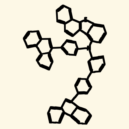 c1cc(-c2ccc(-c3cc4ccccc4c4ccccc34)cc2)cc(N(c2ccc(-c3cc4ccccc4c4ccccc34)cc2)c2cccc3sc4c5ccccc5ccc4c23)c1